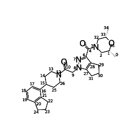 C[C@@H]1CN(C(=O)c2nn(CC(=O)N3CCC(c4cccc5c4CCC5)CC3)c3c2CCC3)C[C@H](C)O1